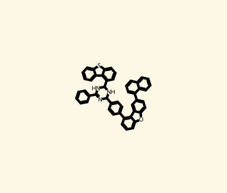 c1ccc(C2=NC(c3ccc(-c4cccc5oc6ccc(-c7cccc8ccccc78)cc6c45)cc3)NC(c3cccc4sc5ccccc5c34)N2)cc1